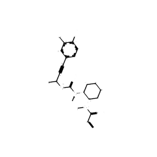 C=CC(=O)N(C)[C@H]1CCCC[C@@H]1N(C)C(=O)NC(C)C#Cc1ccc(Cl)c(Cl)c1